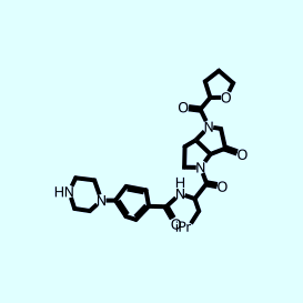 CC(C)CC(NC(=O)c1ccc(N2CCNCC2)cc1)C(=O)N1CCC2C1C(=O)CN2C(=O)C1CCCO1